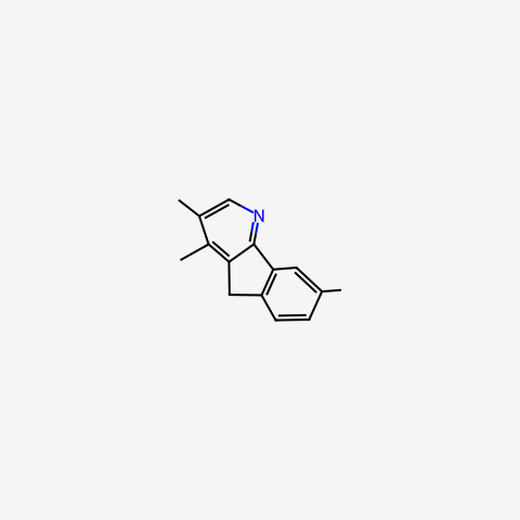 Cc1ccc2c(c1)-c1ncc(C)c(C)c1C2